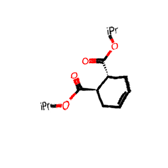 CC(C)OC(=O)[C@@H]1CC=CC[C@H]1C(=O)OC(C)C